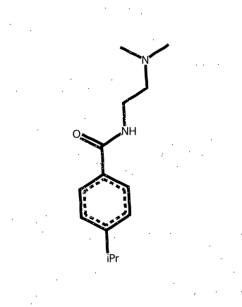 CC(C)c1ccc(C(=O)NCCN(C)C)cc1